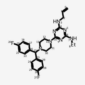 C=CCNc1nc(NCC)nc(N2CCN(C(c3ccc(F)cc3)c3ccc(F)cc3)CC2)n1